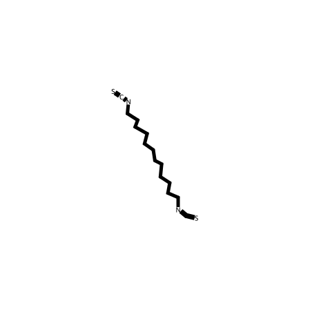 S=C=NCCCCCCCCCCCCN=C=S